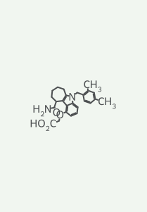 Cc1ccc(Cn2c3c(c4c(OCC(=O)O)cccc42)C(C(N)=O)CCCC3)c(C)c1